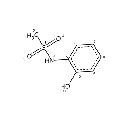 CS(=O)(=O)Nc1ccc[c]c1O